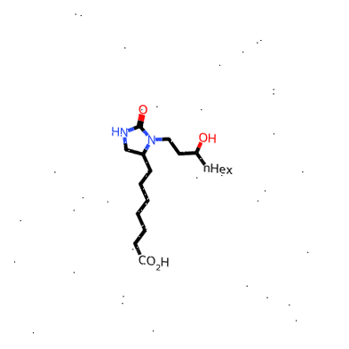 CCCCCCC(O)CCN1C(=O)NCC1CCCCCCC(=O)O